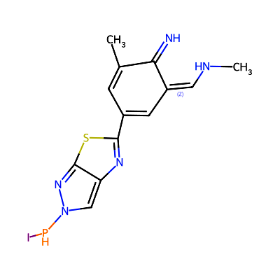 CN/C=C1/C=C(c2nc3cn(PI)nc3s2)C=C(C)C1=N